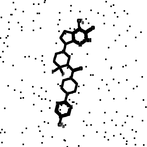 O=C(C1CN(C2CCc3c2n[nH]c(=O)c3C(F)(F)F)CCC1(F)F)N1CCN(c2ncc(C(F)(F)F)cn2)CC1